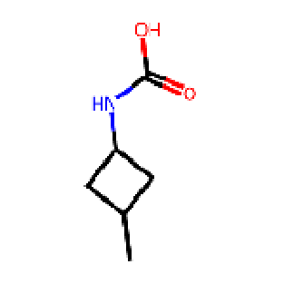 CC1CC(NC(=O)O)C1